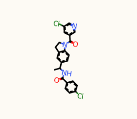 CC(NC(=O)c1ccc(Cl)cc1)c1ccc2c(c1)CCN2C(=O)c1cncc(Cl)c1